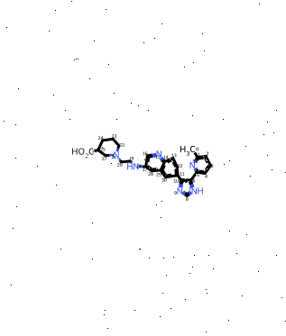 Cc1cccc(-c2[nH]cnc2-c2ccc3ncc(NCCN4CCCC(C(=O)O)C4)cc3c2)n1